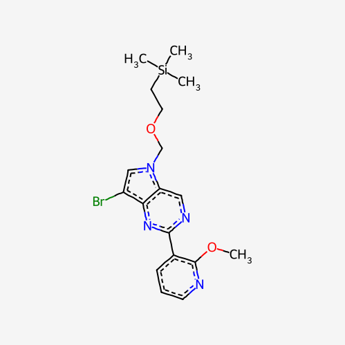 COc1ncccc1-c1ncc2c(n1)c(Br)cn2COCC[Si](C)(C)C